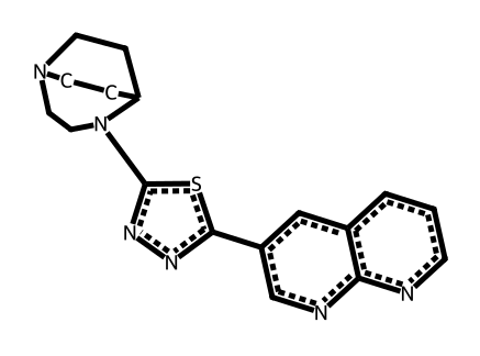 c1cnc2ncc(-c3nnc(N4CCN5CCC4CC5)s3)cc2c1